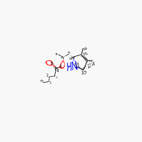 CCCCC(=O)OC(C)C[C@H]1NCC(C)=C1C